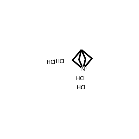 C1C23C[N+]1(C2)C3.Cl.Cl.Cl.Cl